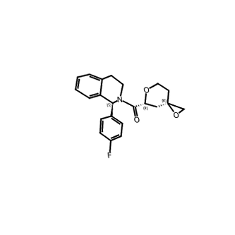 O=C([C@H]1C[C@]2(CCO1)CO2)N1CCc2ccccc2[C@@H]1c1ccc(F)cc1